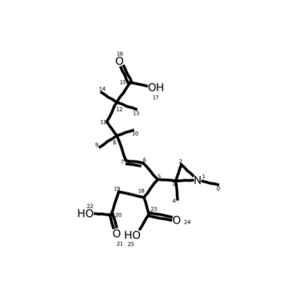 CN1CC1(C)C(/C=C/C(C)(C)CC(C)(C)C(=O)O)C(CC(=O)O)C(=O)O